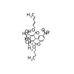 C=CCCO.C=CCCOC(=O)C1=C(C)NC(C)=C(C(=O)OCC=CC=CC)C1c1cccc([N+](=O)[O-])c1